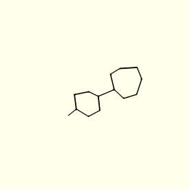 O=CC1CCC(C2CCCCCC2)CC1